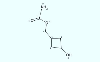 NC(=O)OCC1CC(O)C1